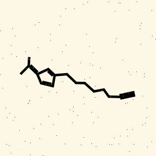 C#CCCCCCCC1=CC(=C(C)C)C=C1